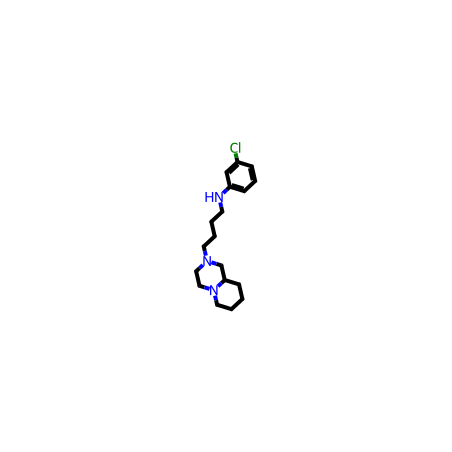 Clc1cccc(NCCCCN2CCN3CCCCC3C2)c1